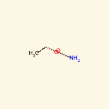 CCCCCCCC/C=C\CCCCCCCCOC(=O)CCCCCCCCCCCN